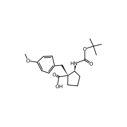 COc1ccc(C[C@]2(C(=O)O)CCC[C@@H]2NC(=O)OC(C)(C)C)cc1